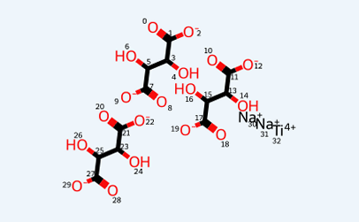 O=C([O-])C(O)C(O)C(=O)[O-].O=C([O-])C(O)C(O)C(=O)[O-].O=C([O-])C(O)C(O)C(=O)[O-].[Na+].[Na+].[Ti+4]